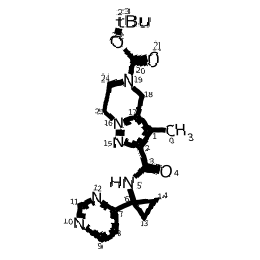 Cc1c(C(=O)NC2(c3ccncn3)CC2)nn2c1CN(C(=O)OC(C)(C)C)CC2